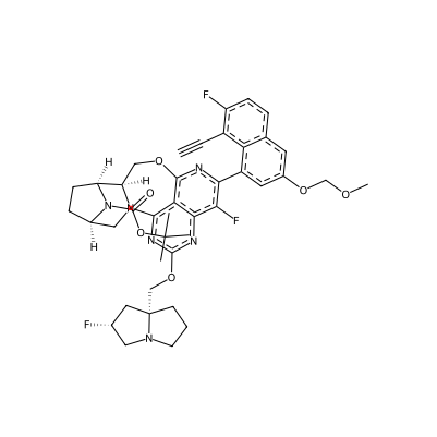 C#Cc1c(F)ccc2cc(OCOC)cc(-c3nc4c5c(nc(OC[C@]67CCCN6C[C@H](F)C7)nc5c3F)N3C[C@H]5CC[C@@H]([C@H]3CO4)N5C(=O)OC(C)(C)C)c12